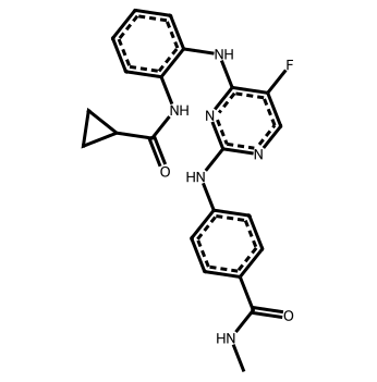 CNC(=O)c1ccc(Nc2ncc(F)c(Nc3ccccc3NC(=O)C3CC3)n2)cc1